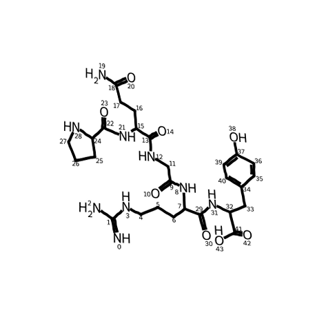 N=C(N)NCCCC(NC(=O)CNC(=O)C(CCC(N)=O)NC(=O)C1CCCN1)C(=O)NC(Cc1ccc(O)cc1)C(=O)O